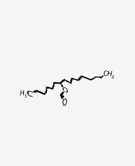 CCCCCCCCCC(CCCCCC)O[C]=O